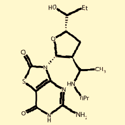 CCCNC(C)[C@@H]1C[C@@H](C(O)CC)O[C@H]1n1c(=O)sc2c(=O)[nH]c(N)nc21